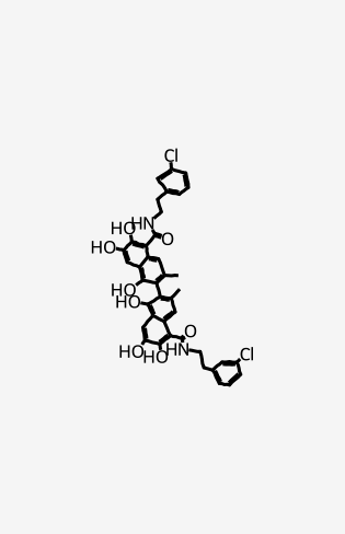 Cc1cc2c(C(=O)NCCc3cccc(Cl)c3)c(O)c(O)cc2c(O)c1-c1c(C)cc2c(C(=O)NCCc3cccc(Cl)c3)c(O)c(O)cc2c1O